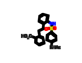 CC(=O)Nc1ccc(S(=O)(=O)Nc2ccccc2CCc2ccccc2C(=O)O)cc1